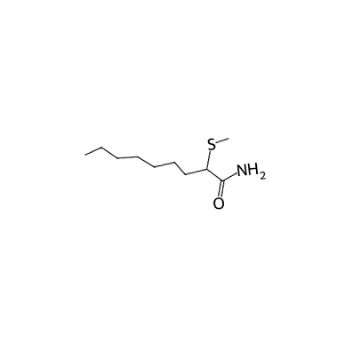 CCCCCCCC(SC)C(N)=O